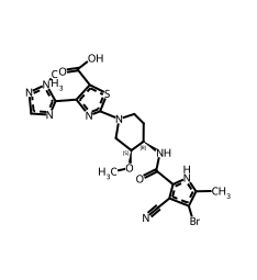 CO[C@H]1CN(c2nc(-c3ncnn3C)c(C(=O)O)s2)CC[C@H]1NC(=O)c1[nH]c(C)c(Br)c1C#N